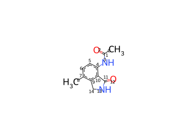 CC(=O)Nc1ccc(C)c2c1C(=O)NC2